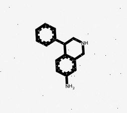 Nc1ccc2c(c1)CNCC2c1ccccc1